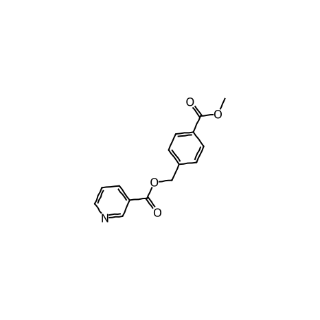 COC(=O)c1ccc(COC(=O)c2cccnc2)cc1